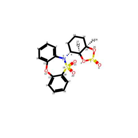 O=S1O[C@H]2[C@H](N3c4ccccc4Oc4ccccc4S3(=O)=O)CCC[C@H]2O1